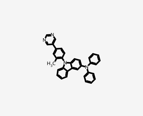 Cc1cc(-c2cncnc2)ccc1-n1c2ccccc2c2cc(N(c3ccccc3)c3ccccc3)ccc21